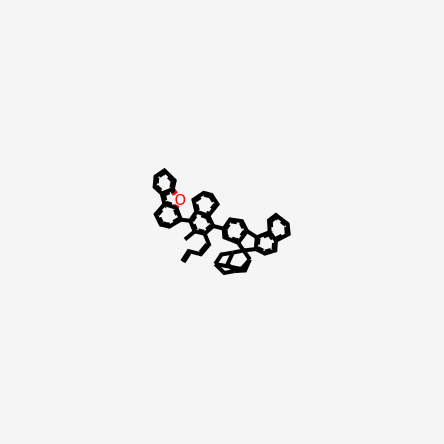 C=C/C=C\c1c(C)c(-c2cccc3c2oc2ccccc23)c2ccccc2c1-c1ccc2c(c1)C1(c3ccc4ccccc4c3-2)C2CC3CC(C2)CC1C3